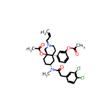 C=CCN1CC[C@@]2(c3cccc(OC(C)=O)c3)C[C@H](N(C)C(=O)Cc3ccc(Cl)c(Cl)c3)CC[C@]2(OC(C)=O)C1